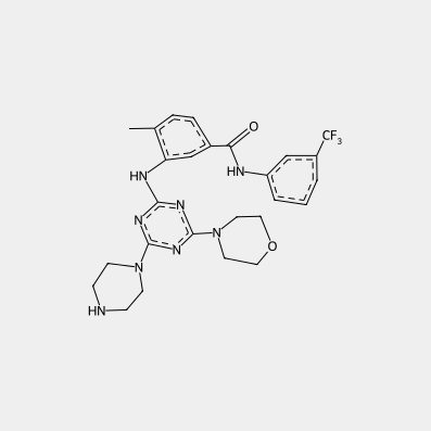 Cc1ccc(C(=O)Nc2cccc(C(F)(F)F)c2)cc1Nc1nc(N2CCNCC2)nc(N2CCOCC2)n1